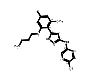 CNCCCOc1cc(C)cc(OC)c1-c1cc(Nc2cnc(C#N)cn2)n[nH]1